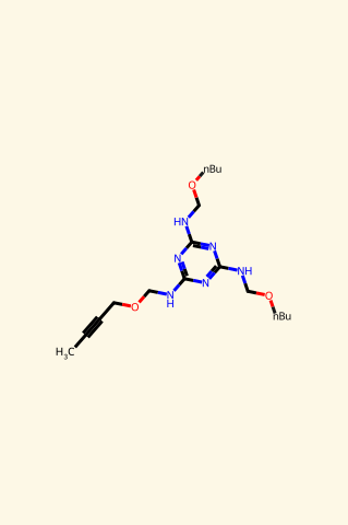 CC#CCOCNc1nc(NCOCCCC)nc(NCOCCCC)n1